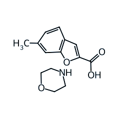 C1COCCN1.Cc1ccc2cc(C(=O)O)oc2c1